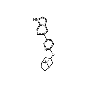 CN1C2CCC1CC(Oc1ccc(-c3ccc4[nH]ccc4c3)nn1)C2